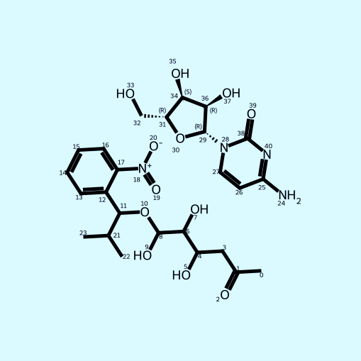 CC(=O)CC(O)C(O)C(O)OC(c1ccccc1[N+](=O)[O-])C(C)C.Nc1ccn([C@@H]2O[C@H](CO)[C@@H](O)[C@H]2O)c(=O)n1